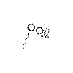 CCCCCC.N=C=O.N=C=O.c1ccccc1.c1ccccc1